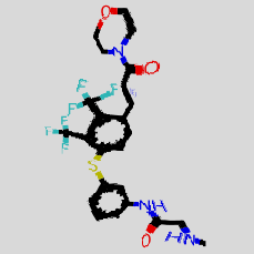 CNCC(=O)Nc1cccc(Sc2ccc(/C=C/C(=O)N3CCOCC3)c(C(F)(F)F)c2C(F)(F)F)c1